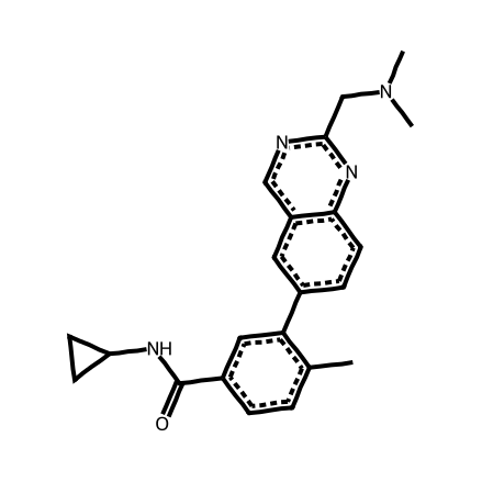 Cc1ccc(C(=O)NC2CC2)cc1-c1ccc2nc(CN(C)C)ncc2c1